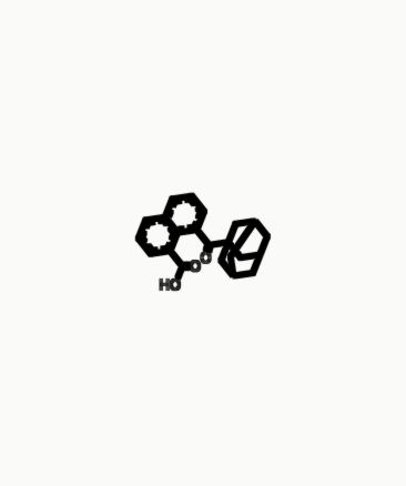 O=C(O)c1cccc2cccc(C(=O)C34CC5CC(CC(C5)C3)C4)c12